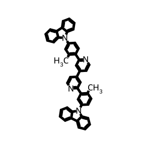 Cc1cc(-n2c3ccccc3c3ccccc32)ccc1-c1cc(-c2ccnc(-c3cc(-n4c5ccccc5c5ccccc54)ccc3C)c2)ccn1